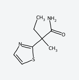 CCC(C)(C(N)=O)c1nccs1